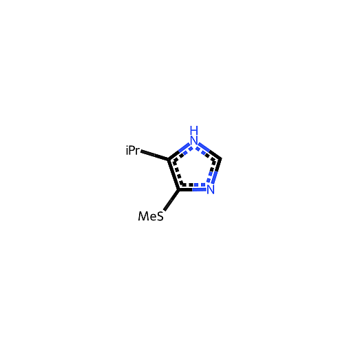 CSc1nc[nH]c1C(C)C